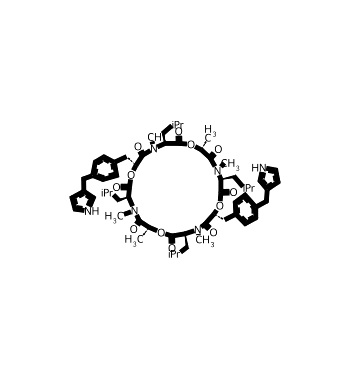 CC(C)C[C@H]1C(=O)O[C@H](Cc2ccc(Cc3cc[nH]c3)cc2)C(=O)N(C)[C@@H](CC(C)C)C(=O)O[C@H](C)C(=O)N(C)[C@@H](CC(C)C)C(=O)O[C@H](Cc2ccc(Cc3cc[nH]c3)cc2)C(=O)N(C)[C@@H](CC(C)C)C(=O)O[C@H](C)C(=O)N1C